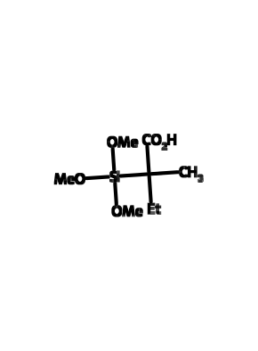 CCC(C)(C(=O)O)[Si](OC)(OC)OC